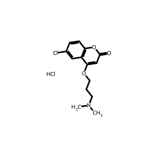 CN(C)CCCOc1cc(=O)oc2ccc(Cl)cc12.Cl